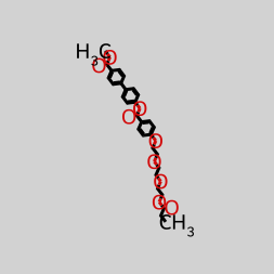 CCC(=O)OCCOCCOCCOc1ccc(C(=O)Oc2ccc(-c3ccc(C(=O)OC)cc3)cc2)cc1